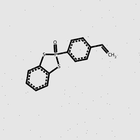 C=Cc1ccc(P2(=O)Sc3ccccc3S2)cc1